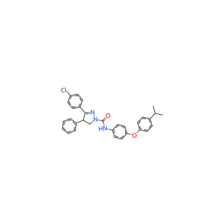 CC(C)c1ccc(Oc2ccc(NC(=O)N3CC(c4ccccc4)C(c4ccc(Cl)cc4)=N3)cc2)cc1